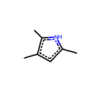 [CH2]c1cc(C)[nH]c1C